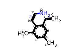 C=Cc1cc(C)cc(C)c1/C=C\N